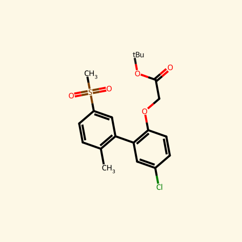 Cc1ccc(S(C)(=O)=O)cc1-c1cc(Cl)ccc1OCC(=O)OC(C)(C)C